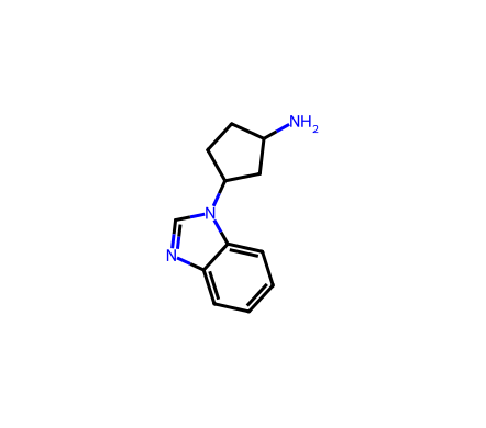 NC1CCC(n2cnc3ccccc32)C1